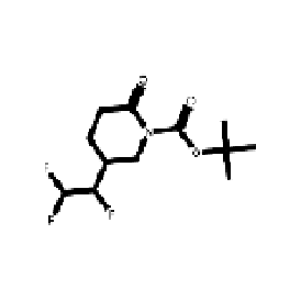 CC(C)(C)OC(=O)N1CC(C(F)C(F)F)CCC1=O